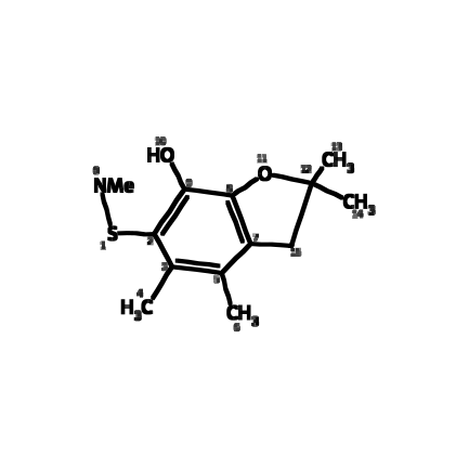 CNSc1c(C)c(C)c2c(c1O)OC(C)(C)C2